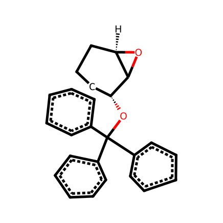 c1ccc(C(O[C@@H]2CCC[C@H]3OC32)(c2ccccc2)c2ccccc2)cc1